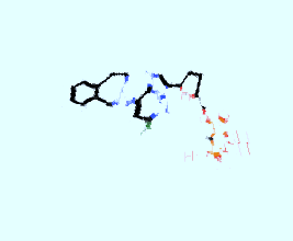 O=P(O)(O)CP(=O)(O)OC[C@@H]1CCC(c2cnc3c(N4CCc5ccccc5C4)cc(Cl)nn23)O1